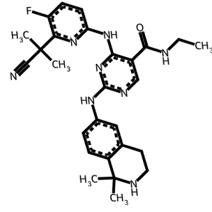 CCNC(=O)c1cnc(Nc2ccc3c(c2)CCNC3(C)C)nc1Nc1ccc(F)c(C(C)(C)C#N)n1